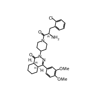 COc1ccc(C2=NN(C3CCN(C(=O)[C@H](N)Cc4ccccc4Cl)CC3)C(=O)[C@@H]3CCCC[C@H]23)cc1OC